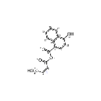 O=C(O)/C=C\C(=O)OC(=O)c1ccc(O)c2ccccc12